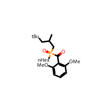 CCCCCCP(=O)(CC(C)CC(C)(C)C)C(=O)c1c(OC)cccc1OC